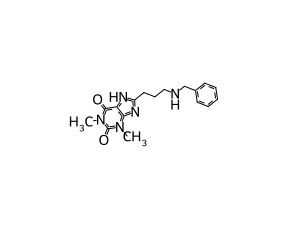 Cn1c(=O)c2[nH]c(CCCNCc3ccccc3)nc2n(C)c1=O